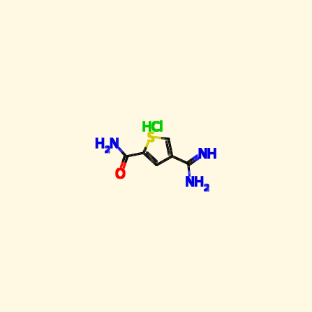 Cl.N=C(N)c1csc(C(N)=O)c1